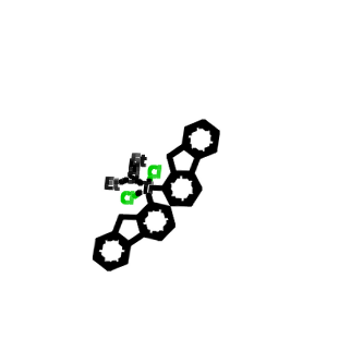 CC[SiH](CC)[Ti]([Cl])([Cl])([c]1cccc2c1Cc1ccccc1-2)[c]1cccc2c1Cc1ccccc1-2